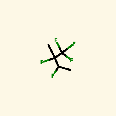 CC(F)C(C)(F)C(F)(F)F